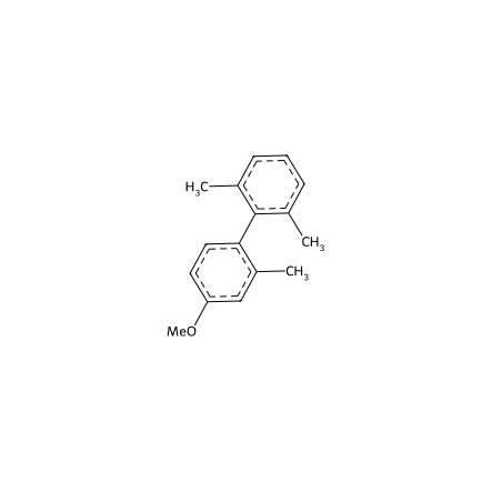 COc1ccc(-c2c(C)cccc2C)c(C)c1